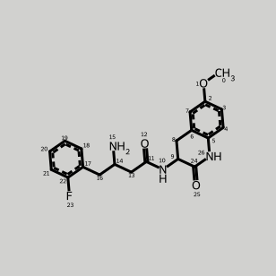 COc1ccc2c(c1)CC(NC(=O)CC(N)Cc1ccccc1F)C(=O)N2